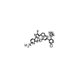 Nc1ccc(-c2nc(F)c([C@H]3CCc4nc(-c5cc(Cl)ccc5-n5cnnn5)cc(=O)n43)[nH]2)c(F)n1